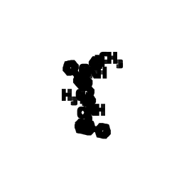 CN1CC[C@@H](NC(=O)C23CC4CC(CC5C[C@@H](NC(=O)CC67CC8CC(C6)CC(c6ccccc6)(C8)C7)CN5C)(C2)CC(c2ccccc2)(C4)C3)C1